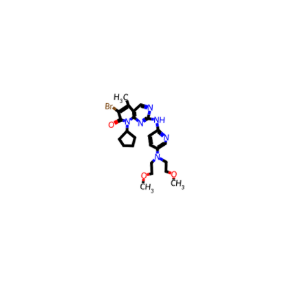 COCCN(CCOC)c1ccc(Nc2ncc3c(C)c(Br)c(=O)n(C4CCCC4)c3n2)nc1